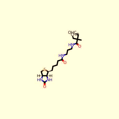 CC(CC=O)(CC=O)C(=O)NCCCNC(=O)CCCC[C@@H]1SC[C@@H]2NC(=O)N[C@@H]21